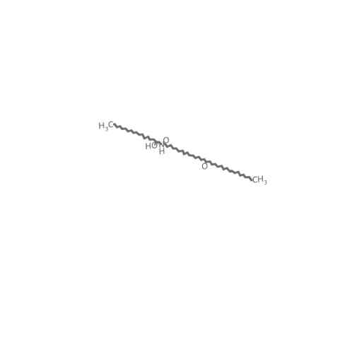 CCCCCCCCC=CCCCCCCCC(=O)CCCCCCCCCCCCCCC(=O)NC[C@@H](O)CCCCCCCCCCCCCCCC